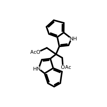 CC(=O)OCC(COC(C)=O)(c1c[nH]c2ccccc12)c1c[nH]c2ccccc12